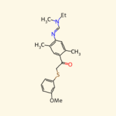 CCN(C)C=Nc1cc(C)c(C(=O)CSc2cccc(OC)c2)cc1C